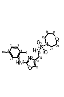 Cc1ccc(C)c(Nc2nc(CNS(=O)(=O)N3CCCOCC3)co2)c1